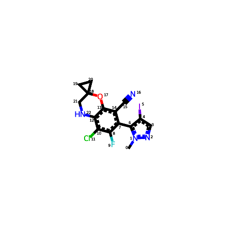 Cn1ncc(I)c1-c1c(F)c(Cl)c2c(c1C#N)OC1(CC1)CN2